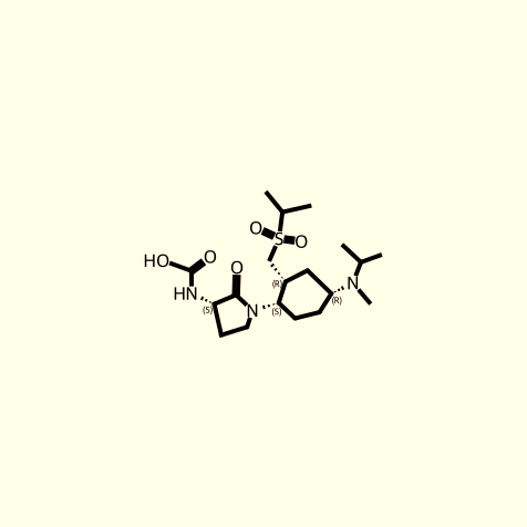 CC(C)N(C)[C@@H]1CC[C@H](N2CC[C@H](NC(=O)O)C2=O)[C@H](CS(=O)(=O)C(C)C)C1